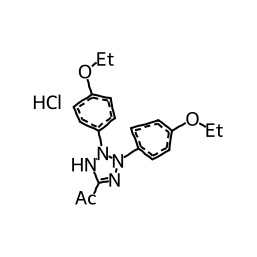 CCOc1ccc(N2N=C(C(C)=O)NN2c2ccc(OCC)cc2)cc1.Cl